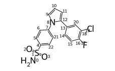 NS(=O)(=O)c1ccc(-n2cccc2-c2ccc(F)c(Cl)c2)cc1